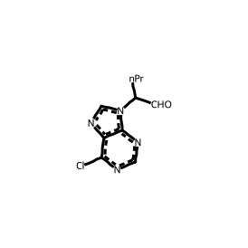 CCCC(C=O)n1cnc2c(Cl)ncnc21